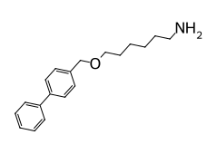 NCCCCCCOCc1ccc(-c2ccccc2)cc1